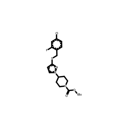 CC(C)(C)OC(=O)N1CCC(n2ccc(SCc3ccc(Cl)cc3F)n2)CC1